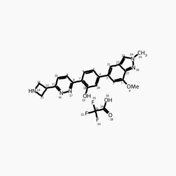 COc1cc(-c2ccc(-c3ccc(C4CNC4)nn3)c(O)c2)cc2cn(C)nc12.O=C(O)C(F)(F)F